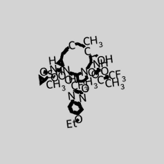 CCOc1ccc2nc(C(F)(F)F)c(O[C@@H]3C[C@H]4C(=O)N[C@]5(C(=O)NS(=O)(=O)C6(C)CC6)CC5/C=C\CC[C@H](C)C[C@@H](CO)[C@H](NC(=O)OC(C)(C)C(F)(F)F)C(=O)N4C3)nc2c1